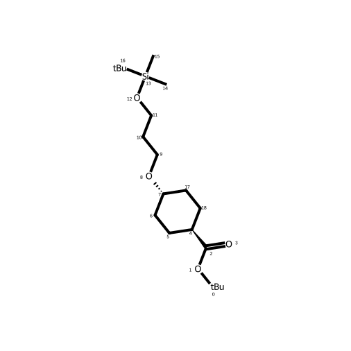 CC(C)(C)OC(=O)[C@H]1CC[C@H](OCCCO[Si](C)(C)C(C)(C)C)CC1